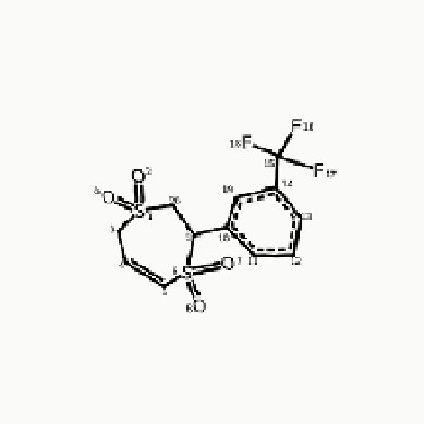 O=S1(=O)CC=CS(=O)(=O)C(c2cccc(C(F)(F)F)c2)C1